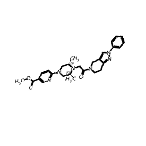 COC(=O)c1ccc(N2C[C@@H](C)N(CC(=O)N3CCc4nn(-c5ccccc5)cc4C3)[C@@H](C)C2)nc1